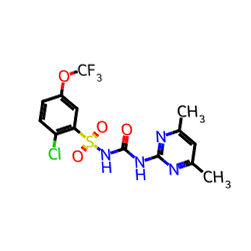 Cc1cc(C)nc(NC(=O)NS(=O)(=O)c2cc(OC(F)(F)F)ccc2Cl)n1